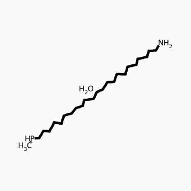 CPCCCCCCCCCCCCCCCCCCCCCCCN.O